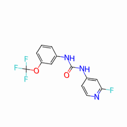 O=C(Nc1cccc(OC(F)(F)F)c1)Nc1ccnc(F)c1